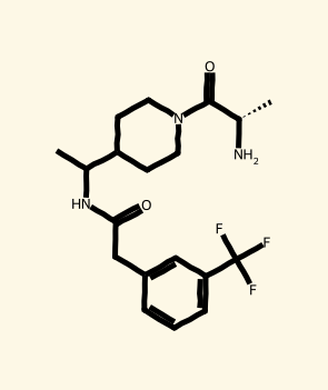 CC(NC(=O)Cc1cccc(C(F)(F)F)c1)C1CCN(C(=O)[C@H](C)N)CC1